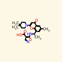 Cc1cc([C@@H](C)Nc2oncc2C(=O)O)c2oc(N3CCC(C)(C)CC3)cc(=O)c2c1